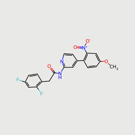 COc1ccc(-c2ccnc(NC(=O)Cc3ccc(F)cc3F)c2)c([N+](=O)[O-])c1